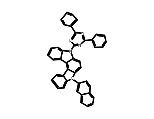 c1ccc(-c2nc(-c3ccccc3)nc(-n3c4ccccc4c4c5c6ccccc6n(-c6ccc7ccccc7c6)c5ccc43)n2)cc1